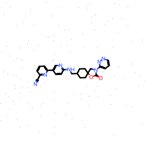 N#Cc1cccc(-c2ccc(NCC3CCC4(CC3)CN(c3cccnn3)C(=O)O4)nc2)n1